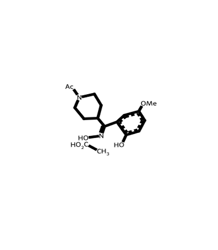 CC(=O)O.COc1ccc(O)c(C(=NO)C2CCN(C(C)=O)CC2)c1